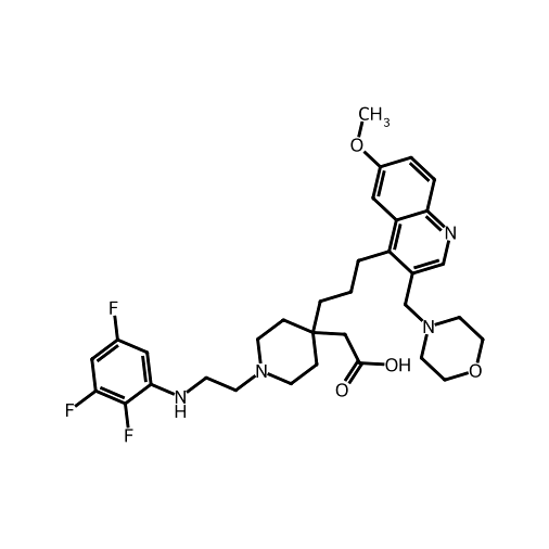 COc1ccc2ncc(CN3CCOCC3)c(CCCC3(CC(=O)O)CCN(CCNc4cc(F)cc(F)c4F)CC3)c2c1